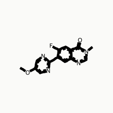 COc1cnc(-c2cc3ncn(C)c(=O)c3cc2F)nc1